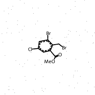 COC(=O)c1cc(Cl)cc(Br)c1CBr